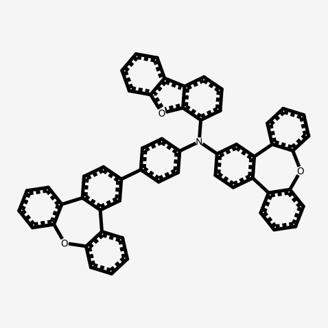 c1ccc2c(c1)Oc1ccccc1-c1cc(-c3ccc(N(c4ccc5c(c4)-c4ccccc4Oc4ccccc4-5)c4cccc5c4oc4ccccc45)cc3)ccc1-2